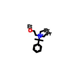 CCOCC[N+](CC(C)C)(CC(C)C)C(C)(C)c1ccccc1